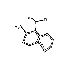 CCC(CC)c1c(N)ccc2ccccc12